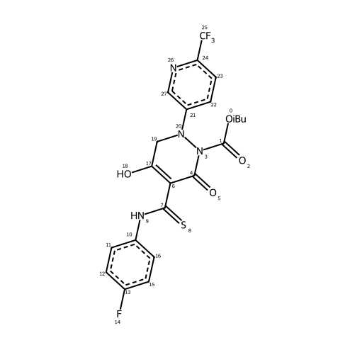 CC(C)COC(=O)N1C(=O)C(C(=S)Nc2ccc(F)cc2)=C(O)CN1c1ccc(C(F)(F)F)nc1